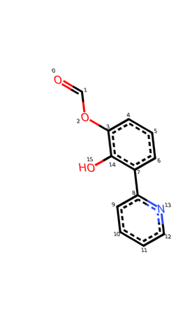 O=COc1cccc(-c2ccccn2)c1O